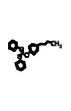 CCCCc1ccc(OP(Oc2ccccc2)Oc2ccccc2)cc1